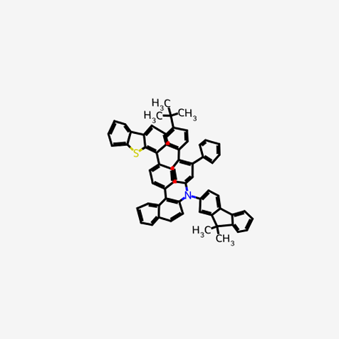 CC(C)(C)c1ccc(-c2ccc(N(c3ccc4c(c3)C(C)(C)c3ccccc3-4)c3ccc4ccccc4c3-c3ccc(-c4cccc5c4sc4ccccc45)cc3)cc2-c2ccccc2)cc1